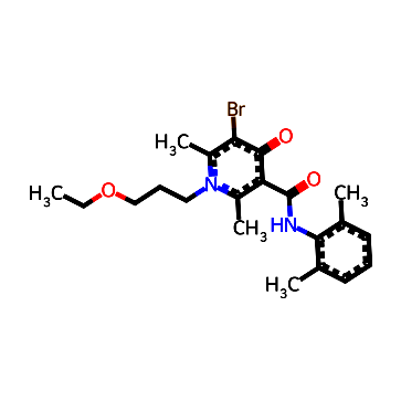 CCOCCCn1c(C)c(Br)c(=O)c(C(=O)Nc2c(C)cccc2C)c1C